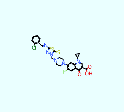 O=C(O)c1cn(C2CC2)c2cc(N3CCN(Cn4nc(/N=C/c5ccccc5Cl)sc4=S)CC3)c(F)cc2c1=O